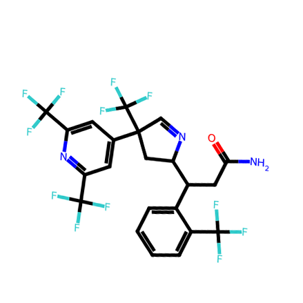 NC(=O)CC(c1ccccc1C(F)(F)F)C1CC(c2cc(C(F)(F)F)nc(C(F)(F)F)c2)(C(F)(F)F)C=N1